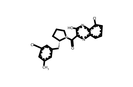 Cc1cc(Cl)cc(C[C@@H]2CCCN2C(=O)c2nc3cccc(Cl)c3nc2O)c1